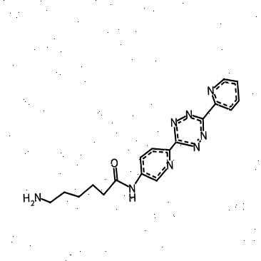 NCCCCCC(=O)Nc1ccc(-c2nnc(-c3ccccn3)nn2)nc1